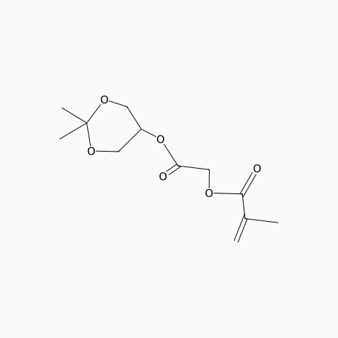 C=C(C)C(=O)OCC(=O)OC1COC(C)(C)OC1